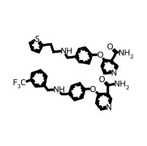 NC(=O)c1cnccc1Oc1ccc(CNCCc2cccs2)cc1.NC(=O)c1cnccc1Oc1ccc(CNCc2cccc(C(F)(F)F)c2)cc1